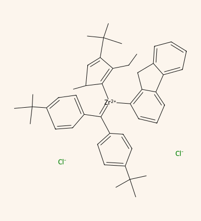 CCC1=[C]([Zr+2](=[C](c2ccc(C(C)(C)C)cc2)c2ccc(C(C)(C)C)cc2)[c]2cccc3c2Cc2ccccc2-3)C(C)C=C1C(C)(C)C.[Cl-].[Cl-]